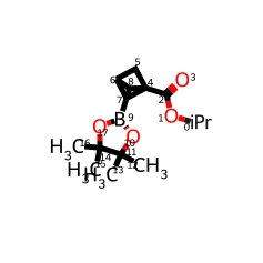 CC(C)OC(=O)C12CC(C1)C2B1OC(C)(C)C(C)(C)O1